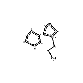 OCCn1cccc1.c1ccncc1